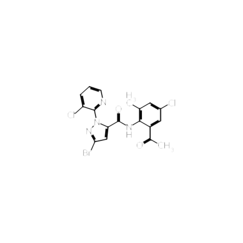 CC(=O)c1cc(Cl)cc(C)c1NC(=O)c1cc(Br)nn1-c1ncccc1Cl